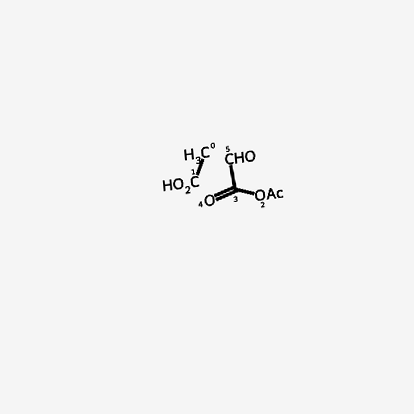 CC(=O)O.CC(=O)OC(=O)C=O